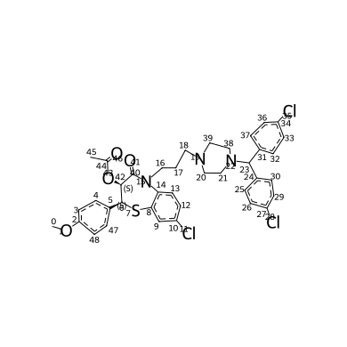 COc1ccc([C@@H]2Sc3cc(Cl)ccc3N(CCCN3CCN(C(c4ccc(Cl)cc4)c4ccc(Cl)cc4)CC3)C(=O)[C@@H]2OC(C)=O)cc1